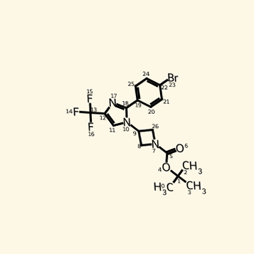 CC(C)(C)OC(=O)N1CC(n2cc(C(F)(F)F)nc2-c2ccc(Br)cc2)C1